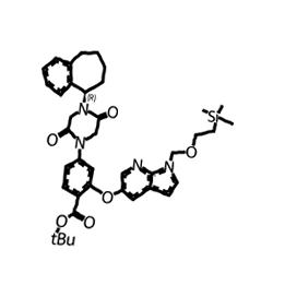 CC(C)(C)OC(=O)c1ccc(N2CC(=O)N([C@@H]3CCCCc4ccccc43)CC2=O)cc1Oc1cnc2c(ccn2COCC[Si](C)(C)C)c1